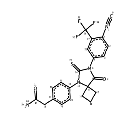 [C-]#[N+]c1ccc(N2C(=O)C3(CCC3)N(c3ccc(CC(N)=O)cc3)C2=S)cc1C(F)(F)F